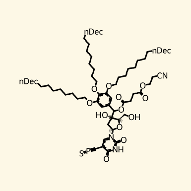 CCCCCCCCCCCCCCCCCCOc1cc(C(OC(=O)CCC(=O)OCCC#N)[C@]2(O)C[C@H](n3cc(C#P=S)c(=O)[nH]c3=O)O[C@@H]2CO)cc(OCCCCCCCCCCCCCCCCCC)c1OCCCCCCCCCCCCCCCCCC